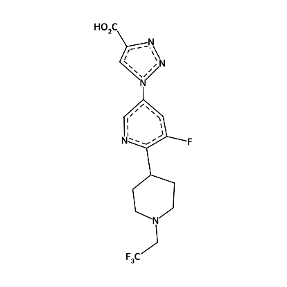 O=C(O)c1cn(-c2cnc(C3CCN(CC(F)(F)F)CC3)c(F)c2)nn1